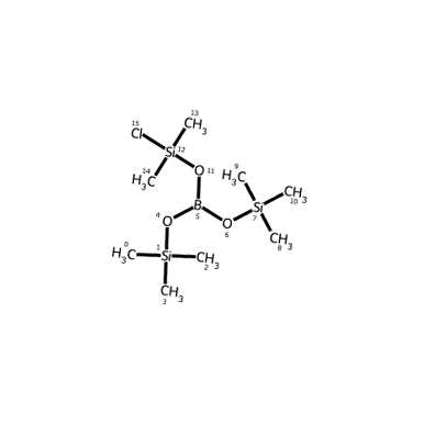 C[Si](C)(C)OB(O[Si](C)(C)C)O[Si](C)(C)Cl